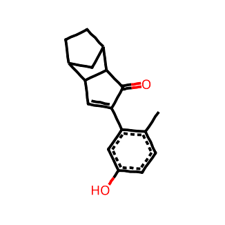 Cc1ccc(O)cc1C1=CC2C3CCC(C3)C2C1=O